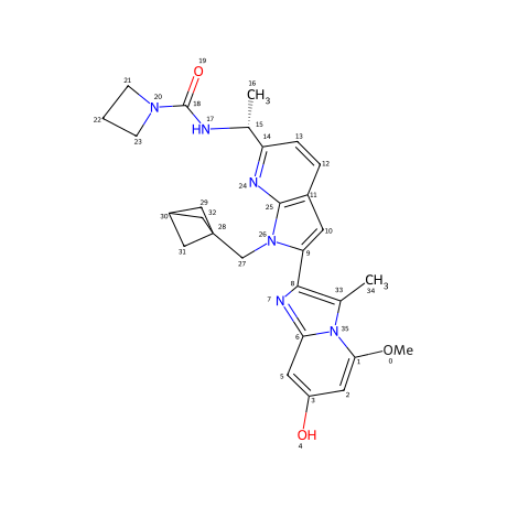 COc1cc(O)cc2nc(-c3cc4ccc([C@@H](C)NC(=O)N5CCC5)nc4n3CC34CC(C3)C4)c(C)n12